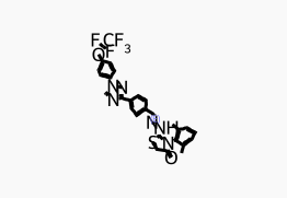 Cc1cccc(C)c1N1C(=O)CSC1N/N=C/c1ccc(-c2ncn(-c3ccc(OC(F)(F)C(F)(F)F)cc3)n2)cc1